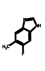 Cc1cc2nc[nH]c2cc1F